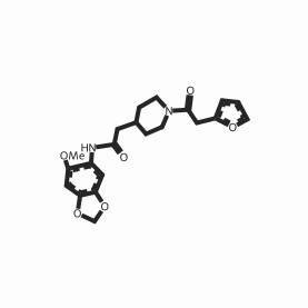 COc1cc2c(cc1NC(=O)CC1CCN(C(=O)Cc3ccco3)CC1)OCO2